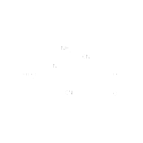 CCOC(=O)Cc1nc(N)c(C#N)c(-c2ccc3c(c2)OCO3)c1C#N